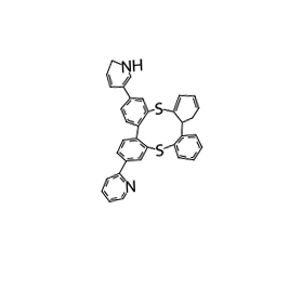 C1=CCC2C(=C1)Sc1cc(C3=CNCC=C3)ccc1-c1ccc(-c3ccccn3)cc1Sc1ccccc12